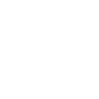 COc1cccc(-c2cccc(C3(c4cccc(OS(=O)(=O)C(C)C)c4)N=C(N)N(C)C3=O)c2)c1.Cl